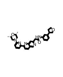 C[C@@H]1CN(c2cccc(-c3ccc4cnc(CC(=O)Nc5cccc(C6CCOC6)c5)cc4n3)n2)C[C@H](C)O1